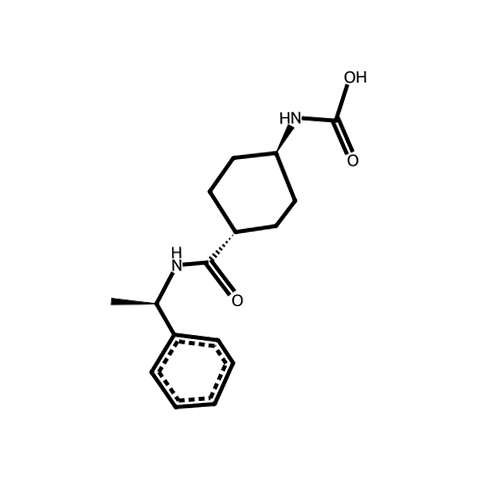 C[C@@H](NC(=O)[C@H]1CC[C@H](NC(=O)O)CC1)c1ccccc1